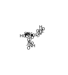 Cc1cn(C2CC[C@@H](COP(=O)(S)O[C@@H]3CC(n4cc(C)c(=O)[nH]c4=O)O[C@@H]3COP(=O)(O)S)O2)c(=O)[nH]c1=O